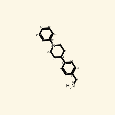 NCc1ccc(C2CCN(c3ccccc3)CC2)cc1